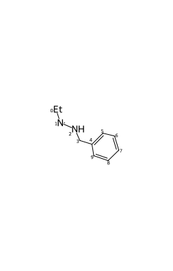 CC[N]NCc1ccccc1